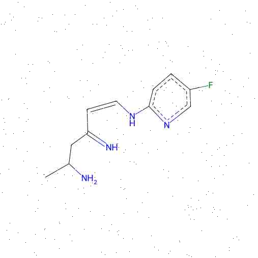 CC(N)CC(=N)/C=C\Nc1ccc(F)cn1